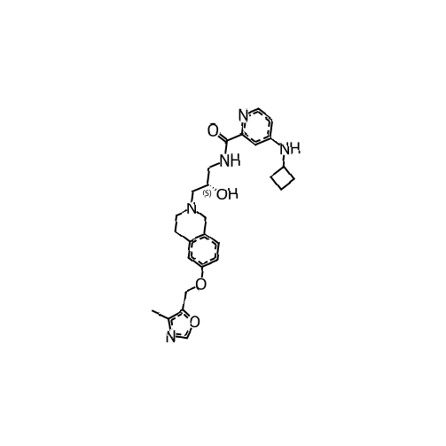 Cc1ncoc1COc1ccc2c(c1)CCN(C[C@@H](O)CNC(=O)c1cc(NC3CCC3)ccn1)C2